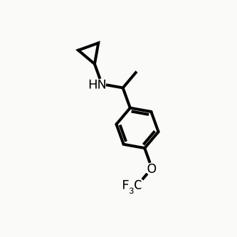 CC(NC1CC1)c1ccc(OC(F)(F)F)cc1